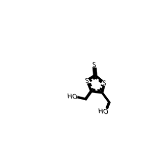 OCc1sc(=S)sc1CO